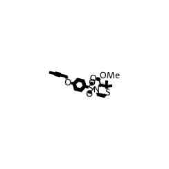 CC#CCOc1ccc(S(=O)(=O)N2C=CSC(C)(C)[C@@H]2C(=O)OC)cc1